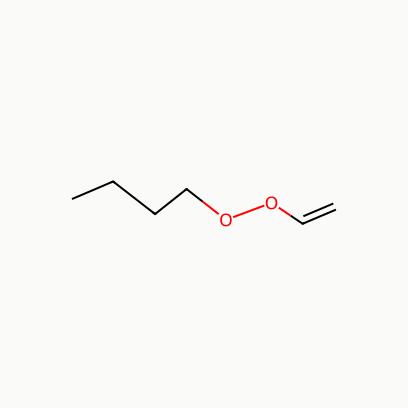 C=COOCCCC